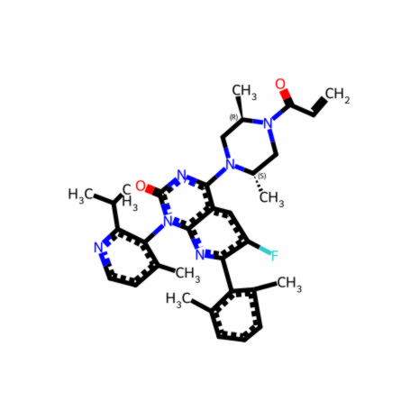 C=CC(=O)N1C[C@H](C)N(c2nc(=O)n(-c3c(C)ccnc3C(C)C)c3nc(-c4c(C)cccc4C)c(F)cc23)C[C@H]1C